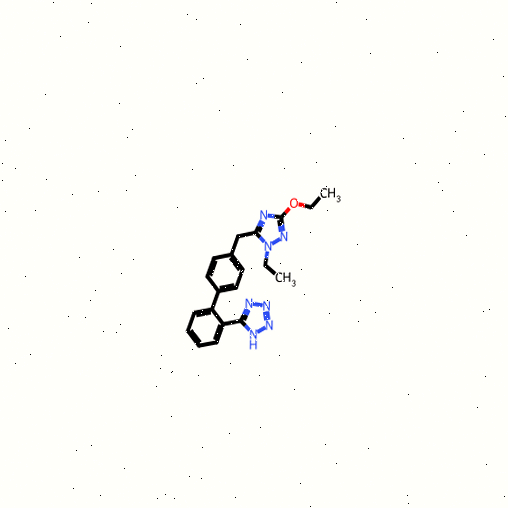 CCOc1nc(Cc2ccc(-c3ccccc3-c3nnn[nH]3)cc2)n(CC)n1